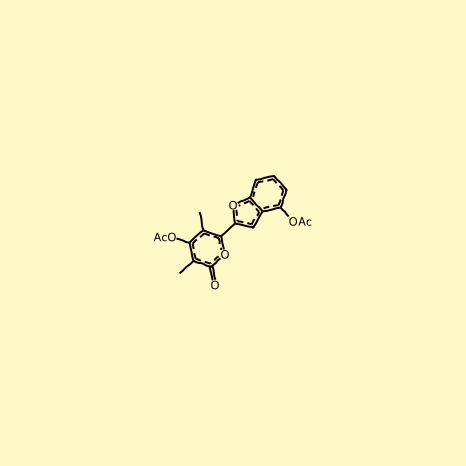 CC(=O)Oc1c(C)c(-c2cc3c(OC(C)=O)cccc3o2)oc(=O)c1C